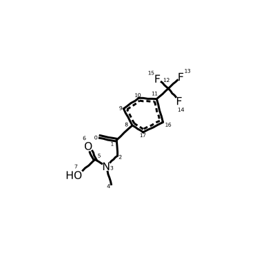 C=C(CN(C)C(=O)O)c1ccc(C(F)(F)F)cc1